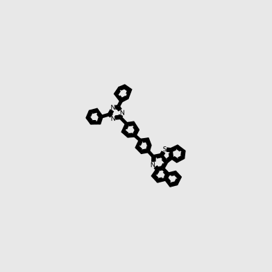 c1ccc(-c2nc(-c3ccccc3)nc(-c3ccc(-c4ccc(-c5nc6ccc7ccccc7c6c6c5sc5ccccc56)cc4)cc3)n2)cc1